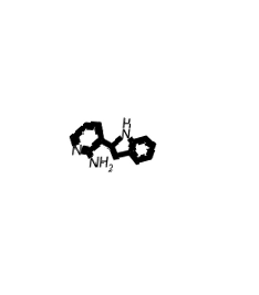 Nc1ncccc1C1Cc2ccccc2N1